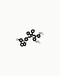 O=[N+]([O-])c1cccc(C(=Cc2sc(C=Cc3ccc(N(c4ccc(Cl)cc4)c4cccc5c4CCCC5)cc3)c(-c3ccccc3)c2-c2ccccc2)c2cccc([N+](=O)[O-])c2)c1